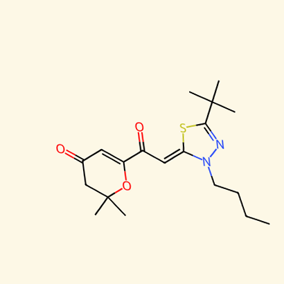 CCCCN1N=C(C(C)(C)C)SC1=CC(=O)C1=CC(=O)CC(C)(C)O1